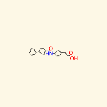 O=C(O)C=Cc1ccc(NC(=O)c2ccc(-c3ccccc3)cc2)cc1